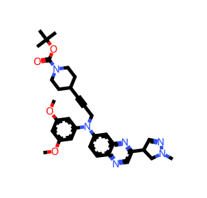 COc1cc(OC)cc(N(CC#CC2CCN(C(=O)OC(C)(C)C)CC2)c2ccc3ncc(C4C=NN(C)C4)nc3c2)c1